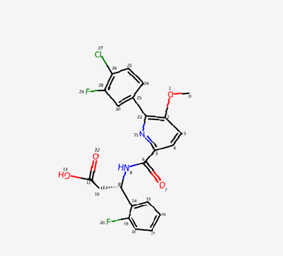 COc1ccc(C(=O)N[C@@H](CC(=O)O)c2ccccc2F)nc1-c1ccc(Cl)c(F)c1